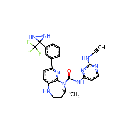 C#CNc1nccc(NC(=O)N2c3nc(-c4cccc(C5(C(F)(F)F)NN5)c4)ccc3NCC[C@H]2C)n1